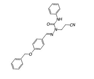 N#CCCN(N=Cc1ccc(OCc2ccccc2)cc1)C(=O)Nc1ccccc1